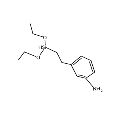 CCO[SiH](CCc1cccc(N)c1)OCC